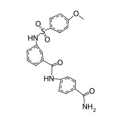 COc1ccc(S(=O)(=O)Nc2cccc(C(=O)Nc3ccc(C(N)=O)cc3)c2)cc1